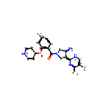 CC1=N/C(=C2\CN(C(=O)c3ccc(F)cc3OC3CCNCC3)CC2=N)NC=C1Cl